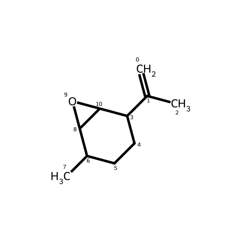 C=C(C)C1CCC(C)C2OC12